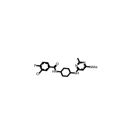 CNc1cc(NC2CCC(NC(=O)c3ccc(F)c(Cl)c3)CC2)nc(C)n1